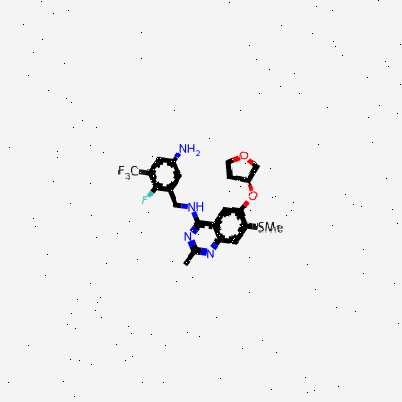 CSc1cc2nc(C)nc(NCc3cc(N)cc(C(F)(F)F)c3F)c2cc1O[C@H]1CCOC1